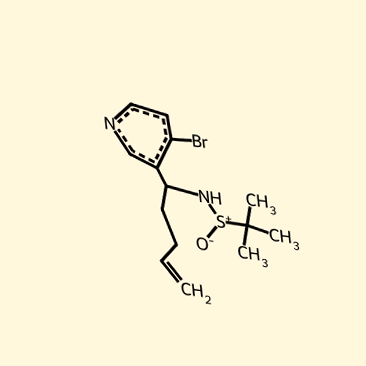 C=CCCC(N[S+]([O-])C(C)(C)C)c1cnccc1Br